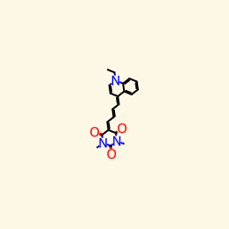 CCN1C=CC(=CC=CC=C2C(=O)N(C)C(=O)N(C)C2=O)c2ccccc21